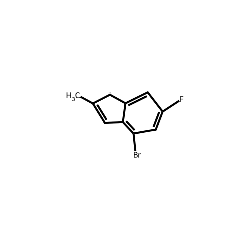 CC1=Cc2c(Br)cc(F)cc2[C]1